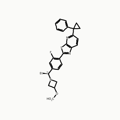 CC[C@@H](c1ccc(-c2nc3ccc(C4(c5ccccc5)CC4)nc3s2)c(F)c1)N1CC(OC(=O)O)C1